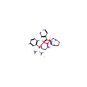 CC(C)N(C(=O)c1cc(F)ccc1-n1cc(C2=CC3CCC(C2)N3C(=O)C2NC3CCC2CC3)c2ccncc21)C(C)C